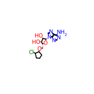 Nc1ncnc2c1ncn2[C@@H]1O[C@H](COC2CCCC2Cl)[C@@H](O)[C@H]1O